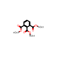 CCCCCCCCOC(=O)c1cccc(C(=O)OCCCCCCCC)c1C(=O)OCCCCCCCC